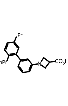 CCCc1ccc(C(C)C)cc1-c1cccc(N2CC(C(=O)O)C2)c1